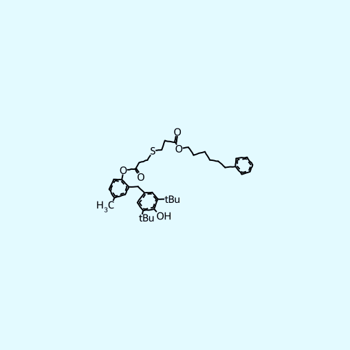 Cc1ccc(OC(=O)CCSCCC(=O)OCCCCCCc2ccccc2)c(Cc2cc(C(C)(C)C)c(O)c(C(C)(C)C)c2)c1